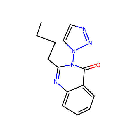 CCCCc1nc2ccccc2c(=O)n1-n1ccnn1